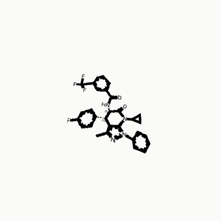 Cc1nn(-c2ccccc2)c2c1[C@H](c1ccc(F)cc1)[C@H](NC(=O)c1cccc(C(F)(F)F)c1)C(=O)N2C1CC1